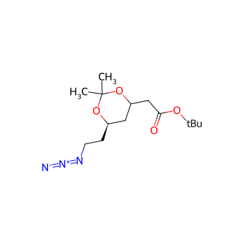 CC(C)(C)OC(=O)CC1C[C@@H](CCN=[N+]=[N-])OC(C)(C)O1